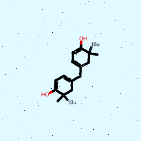 CC(C)(C)C1(C)CC(CC2=CC=C(O)C(C)(C(C)(C)C)C2)=CC=C1O